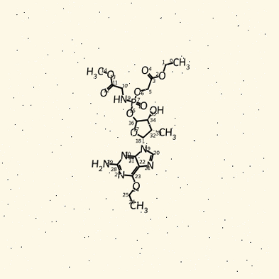 CCOC(=O)COP(=O)(NCC(=O)OC)OC1O[C@@H](n2cnc3c(OCC)nc(N)nc32)[C@@H](C)[C@@H]1O